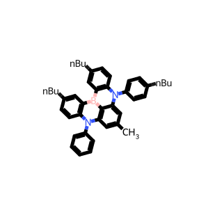 CCCCc1ccc(N2c3ccc(CCCC)cc3B3c4cc(CCCC)ccc4N(c4ccccc4)c4cc(C)cc2c43)cc1